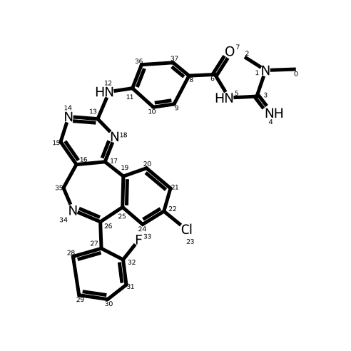 CN(C)C(=N)NC(=O)c1ccc(Nc2ncc3c(n2)-c2ccc(Cl)cc2C(c2ccccc2F)=NC3)cc1